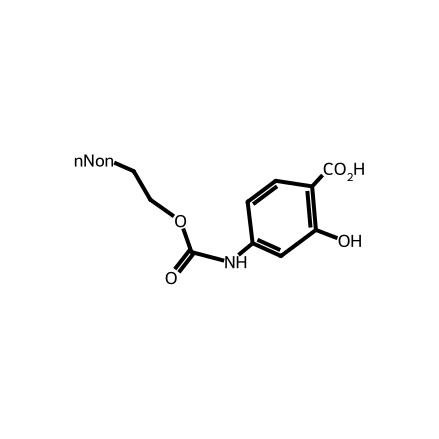 CCCCCCCCCCCOC(=O)Nc1ccc(C(=O)O)c(O)c1